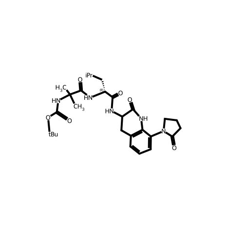 CC(C)C[C@@H](NC(=O)C(C)(C)NC(=O)OC(C)(C)C)C(=O)NC1Cc2cccc(N3CCCC3=O)c2NC1=O